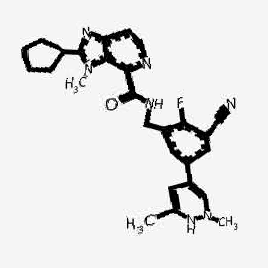 CC1=CC(c2cc(C#N)c(F)c(CNC(=O)c3nccc4nc(C5CCCC5)n(C)c34)c2)=CN(C)N1